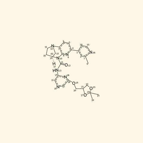 Cc1cc(-c2ccc3c(n2)N(C(=O)Nc2cncc(OCC4COC(C)(C)O4)n2)[C@H]2CCN3C2)ccn1